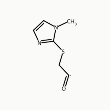 Cn1ccnc1SC[C]=O